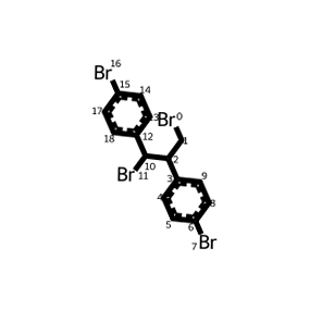 BrCC(c1ccc(Br)cc1)C(Br)c1ccc(Br)cc1